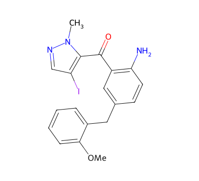 COc1ccccc1Cc1ccc(N)c(C(=O)c2c(I)cnn2C)c1